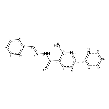 O=C(NN=Cc1ccccc1)c1cnc(-c2ccccn2)nc1O